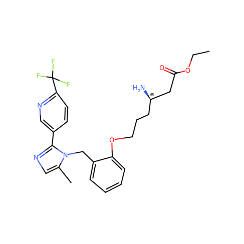 CCOC(=O)C[C@H](N)CCCOc1ccccc1Cn1c(C)cnc1-c1ccc(C(F)(F)F)nc1